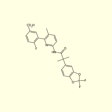 Cc1ccc(NC(=O)C(C)(C)c2ccc3c(c2)OC(F)(F)O3)nc1-c1cc(C(=O)O)ccc1F